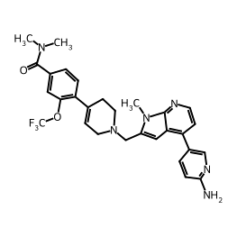 CN(C)C(=O)c1ccc(C2=CCN(Cc3cc4c(-c5ccc(N)nc5)ccnc4n3C)CC2)c(OC(F)(F)F)c1